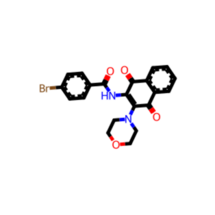 O=C(NC1=C(N2CCOCC2)C(=O)c2ccccc2C1=O)c1ccc(Br)cc1